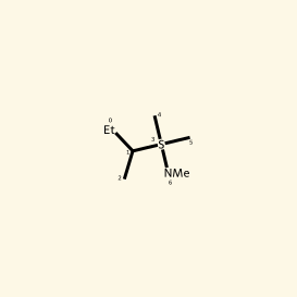 CCC(C)S(C)(C)NC